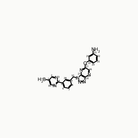 Bc1cnc(-c2cccc(Cn3nnc4ncc(Oc5cccc(N)c5)nc43)c2)nc1